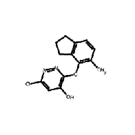 Cc1ccc2c(c1Oc1nnc(Cl)cc1O)CCC2